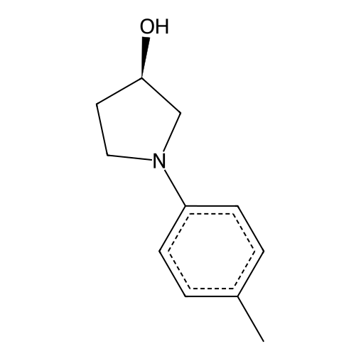 Cc1ccc(N2CC[C@@H](O)C2)cc1